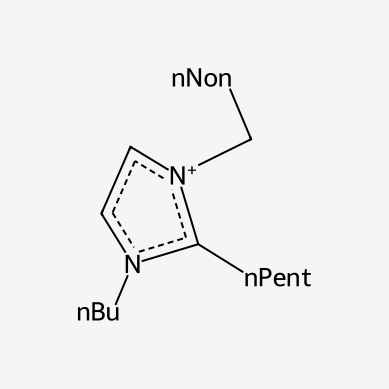 CCCCCCCCCC[n+]1ccn(CCCC)c1CCCCC